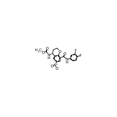 COC(=O)N[C@H]1CCOc2c(C(=O)Nc3ccc(F)c(F)c3)cc([N+](=O)[O-])cc21